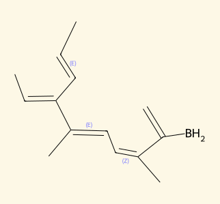 BC(=C)/C(C)=C\C=C(/C)C(=CC)/C=C/C